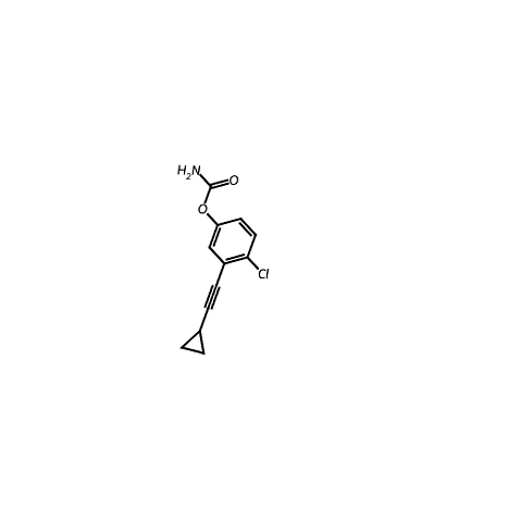 NC(=O)Oc1ccc(Cl)c(C#CC2CC2)c1